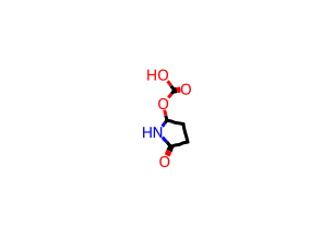 O=C1CCC(OC(=O)O)N1